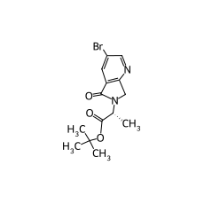 C[C@H](C(=O)OC(C)(C)C)N1Cc2ncc(Br)cc2C1=O